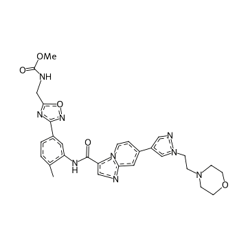 COC(=O)NCc1nc(-c2ccc(C)c(NC(=O)c3cnc4cc(-c5cnn(CCN6CCOCC6)c5)ccn34)c2)no1